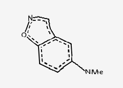 CNc1ccc2oncc2c1